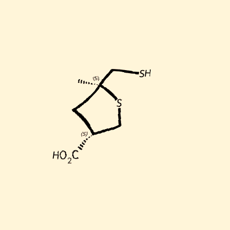 C[C@@]1(CS)C[C@@H](C(=O)O)CS1